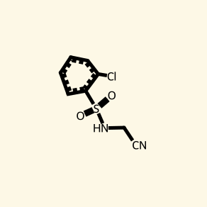 N#CCNS(=O)(=O)c1ccccc1Cl